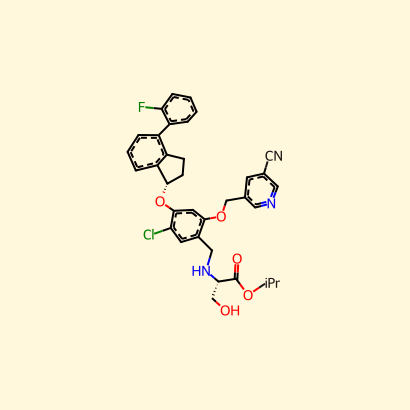 CC(C)OC(=O)[C@H](CO)NCc1cc(Cl)c(O[C@H]2CCc3c(-c4ccccc4F)cccc32)cc1OCc1cncc(C#N)c1